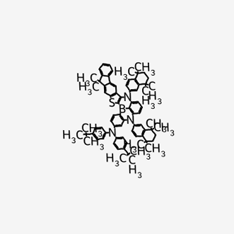 CC(C)(C)c1ccc(N(c2ccc(C(C)(C)C)cc2)c2ccc3c(c2)N(c2ccc4c(c2)C(C)(C)CCC4(C)C)c2cccc4c2B3c2sc3cc5c(cc3c2N4c2ccc3c(c2)C(C)(C)CCC3(C)C)-c2ccccc2C5(C)C)cc1